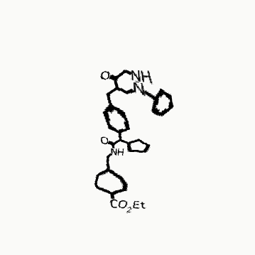 CCOC(=O)C1CCC(CNC(=O)C(c2ccc(CC3CN(c4ccccc4)NCC3=O)cc2)C2CCCC2)CC1